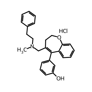 CN(CCc1ccccc1)CC1=C(c2cccc(O)c2)c2ccccc2OCC1.Cl